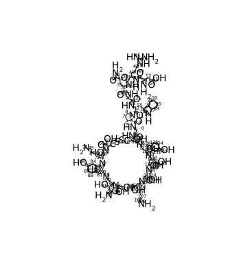 C[C@@H](NC(=O)[C@@H]1CCCN1C(=O)[C@@H](Cc1c[nH]c2ccccc12)NC(=O)CNC(=O)C(CCC(N)=O)NC(=O)C(CCCNC(=N)N)NC(=O)[C@H](N)CC(=O)O)C(=O)N[C@@H]1CSSC[C@@H](C(=O)O)N=C(O)[C@H](CCCCN)N=C(O)[C@H](Cc2ccc(O)cc2)N=C(O)C(CC(N)=O)N=C(O)CN=C(O)[C@@H](CCCCN)N=C(O)[C@@H](CO)N=C(O)[C@@H](CC(=O)O)N=C(O)[C@@H](Cc2ccc(O)cc2)N=C1O